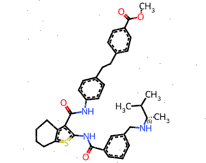 COC(=O)c1ccc(CCc2ccc(NC(=O)c3c(NC(=O)c4cccc(CN[C@@H](C)C(C)C)c4)sc4c3CCCC4)cc2)cc1